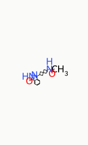 CC(=O)NC1CC2(C1)CC(c1n[nH]c(=O)c3ccccc13)C2